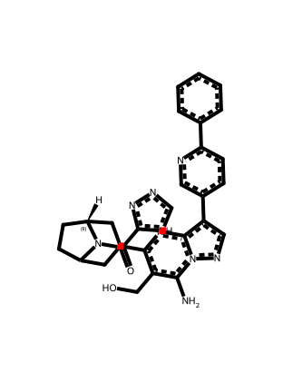 Nc1c(CO)c(C2CC3CC[C@H](C2)N3C(=O)c2nnc[nH]2)nc2c(-c3ccc(-c4ccccc4)nc3)cnn12